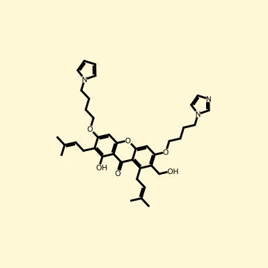 CC(C)=CCc1c(OCCCCn2cccc2)cc2oc3cc(OCCCCn4ccnc4)c(CO)c(CC=C(C)C)c3c(=O)c2c1O